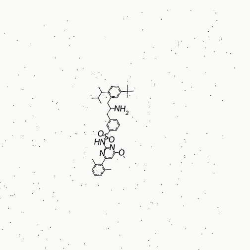 COc1cc(-c2c(C)cccc2C)nc(NS(=O)(=O)c2cccc(CC(N)Cc3cc(C(C)(C)C)ccc3C(C)C(C)C)c2)n1